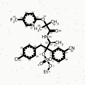 CCOS(=O)(=O)OC(Cc1ccc(Cl)cc1)(c1cccc(C#N)c1)[C@H](C)NC(=O)C(C)(C)Oc1ccc(C(F)(F)F)cn1